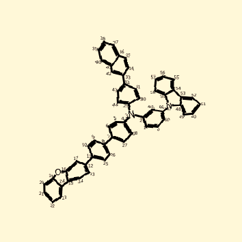 c1cc(N(c2ccc(-c3ccc(-c4ccc5c(c4)oc4ccccc45)cc3)cc2)c2ccc(-c3ccc4ccccc4c3)cc2)cc(-n2c3ccccc3c3ccccc32)c1